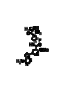 COc1ncc(-c2ccc3c(N)ncnn23)cc1C(=O)N[C@@H]1CN(C(=O)[C@@](C)(O)C(F)(F)F)C[C@@H]1F